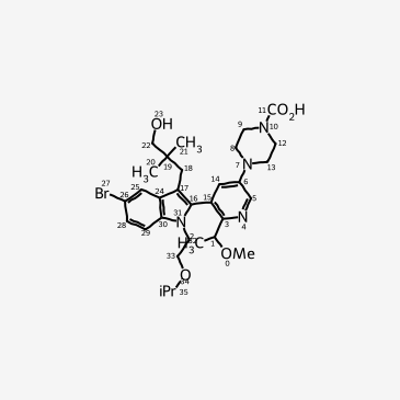 COC(C)c1ncc(N2CCN(C(=O)O)CC2)cc1-c1c(CC(C)(C)CO)c2cc(Br)ccc2n1CCOC(C)C